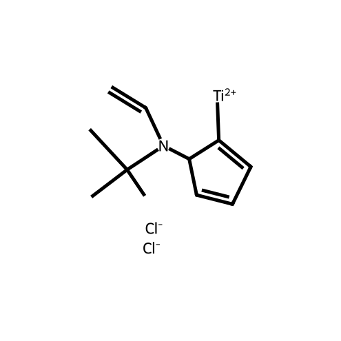 C=CN(C1C=CC=[C]1[Ti+2])C(C)(C)C.[Cl-].[Cl-]